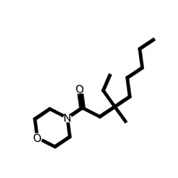 CCCCCC(C)(CC)CC(=O)N1CCOCC1